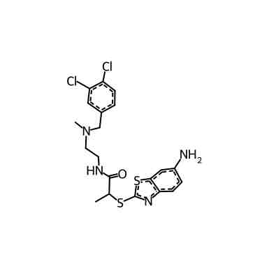 CC(Sc1nc2ccc(N)cc2s1)C(=O)NCCN(C)Cc1ccc(Cl)c(Cl)c1